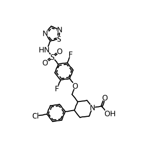 O=C(O)N1CCC(c2ccc(Cl)cc2)C(COc2cc(F)c(S(=O)(=O)Nc3ncns3)cc2F)C1